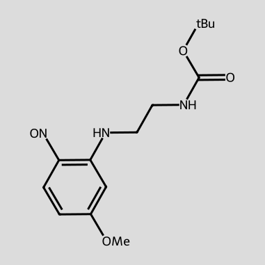 COc1ccc(N=O)c(NCCNC(=O)OC(C)(C)C)c1